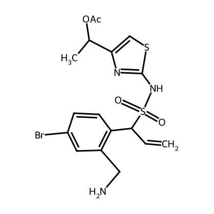 C=CC(c1ccc(Br)cc1CN)S(=O)(=O)Nc1nc(C(C)OC(C)=O)cs1